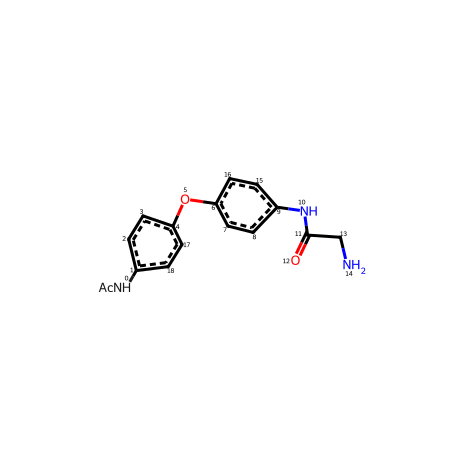 CC(=O)Nc1ccc(Oc2ccc(NC(=O)CN)cc2)cc1